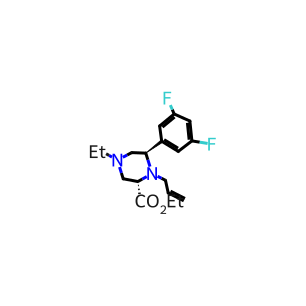 C=CCN1[C@H](C(=O)OCC)CN(CC)C[C@H]1c1cc(F)cc(F)c1